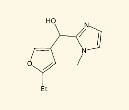 CCc1cc(C(O)c2nccn2C)co1